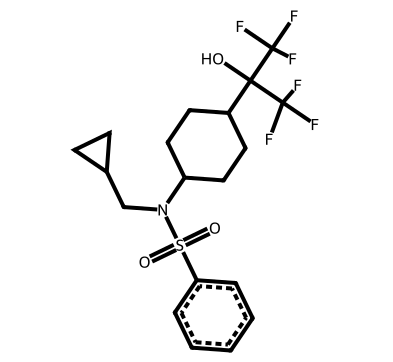 O=S(=O)(c1ccccc1)N(CC1CC1)C1CCC(C(O)(C(F)(F)F)C(F)(F)F)CC1